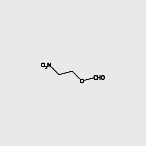 O=COCC[N+](=O)[O-]